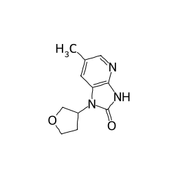 Cc1cnc2[nH]c(=O)n(C3CCOC3)c2c1